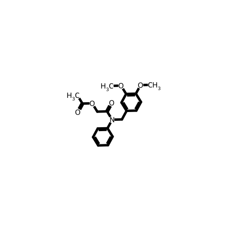 COc1ccc(CN(C(=O)COC(C)=O)c2ccccc2)cc1OC